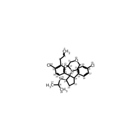 C=CCc1cc([C@]2(N3CCOCC3=O)C(c3ccc(Cl)cc3)CC[C@H]2SC(C)C)ccc1Cl